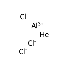 [Al+3].[Cl-].[Cl-].[Cl-].[He]